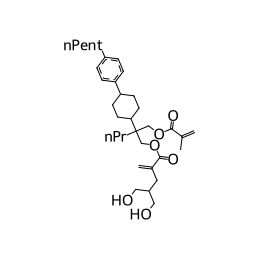 C=C(C)C(=O)OCC(CCC)(COC(=O)C(=C)CC(CO)CO)C1CCC(c2ccc(CCCCC)cc2)CC1